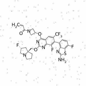 C=CC(=O)N1CC(Oc2nc(OC[C@@]34CCCN3C[C@H](F)C4)nc3c(F)c(-c4ccc(F)c5sc(N)nc45)c(C(F)(F)F)cc23)C1